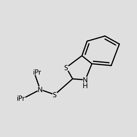 CC(C)N(SC1Nc2ccccc2S1)C(C)C